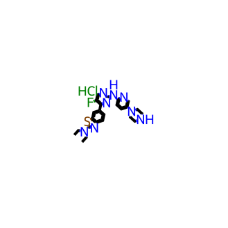 CCN(CC)c1nc2ccc(-c3nc(Nc4ccc(N5CCNCC5)cn4)ncc3F)cc2s1.Cl